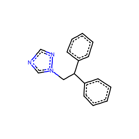 c1ccc(C(Cn2cncn2)c2ccccc2)cc1